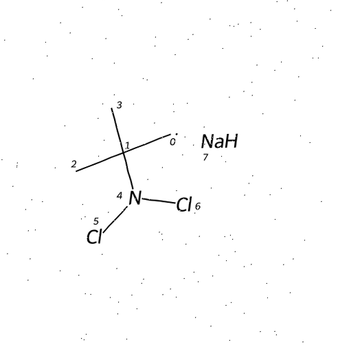 [CH2]C(C)(C)N(Cl)Cl.[NaH]